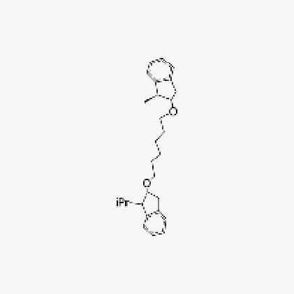 CC(C)C1c2ccccc2C[C@H]1OCCCCCCO[C@@H]1Cc2ccccc2[C@@H]1C